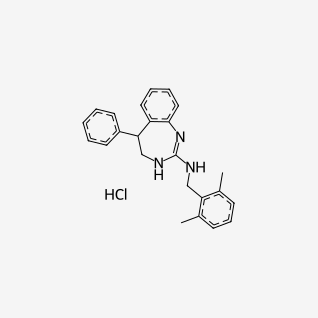 Cc1cccc(C)c1CNC1=Nc2ccccc2C(c2ccccc2)CN1.Cl